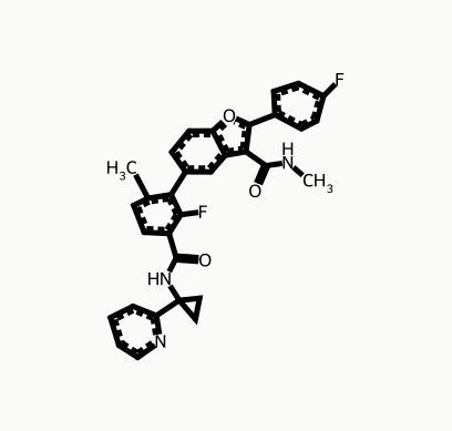 CNC(=O)c1c(-c2ccc(F)cc2)oc2ccc(-c3c(C)ccc(C(=O)NC4(c5ccccn5)CC4)c3F)cc12